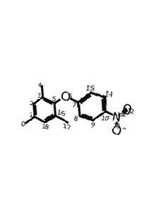 Cc1cc(C)c(Oc2ccc([N+](=O)[O-])cc2)c(C)c1